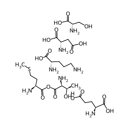 CSCC[C@H](N)C(=O)OC(=O)[C@@H](N)[C@@H](C)O.NCCC[C@H](N)C(=O)O.N[C@@H](CC(=O)O)C(=O)O.N[C@@H](CCC(=O)O)C(=O)O.N[C@@H](CO)C(=O)O